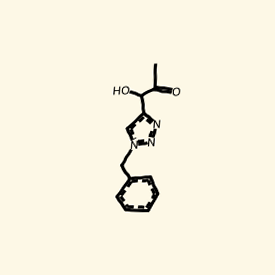 CC(=O)C(O)c1cn(Cc2ccccc2)nn1